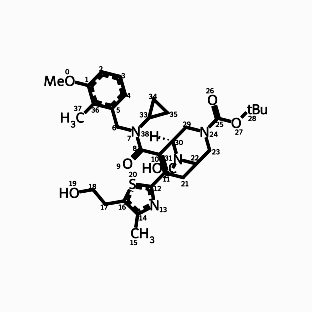 COc1cccc(CN(C(=O)C2=C(c3nc(C)c(CCO)s3)CC3CN(C(=O)OC(C)(C)C)C[C@H]2N3C(=O)O)C2CC2)c1C